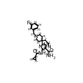 N#CCC1(n2cc(C(N)=O)c(NC(=O)C3CC3)n2)CCN(Cc2cccc(F)c2)CC1